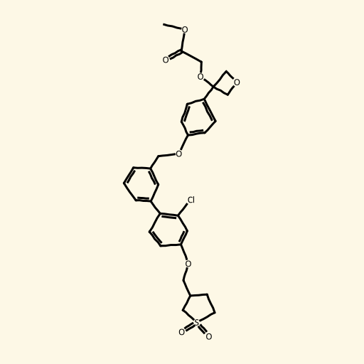 COC(=O)COC1(c2ccc(OCc3cccc(-c4ccc(OCC5CCS(=O)(=O)C5)cc4Cl)c3)cc2)COC1